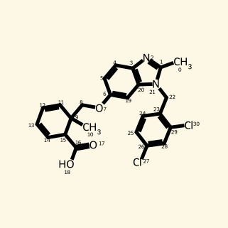 Cc1nc2ccc(OCC3(C)C=CC=CC3C(=O)O)cc2n1Cc1ccc(Cl)cc1Cl